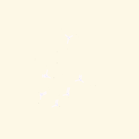 CCOC(=O)Nc1cc(NC(C)CCCN(CC)CC)c2nccnc2n1